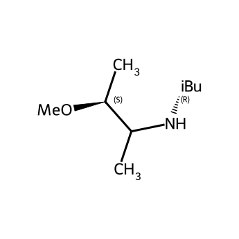 CC[C@@H](C)NC(C)[C@H](C)OC